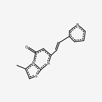 Cc1csc2nc(/C=C/c3cccnc3)cc(=O)n12